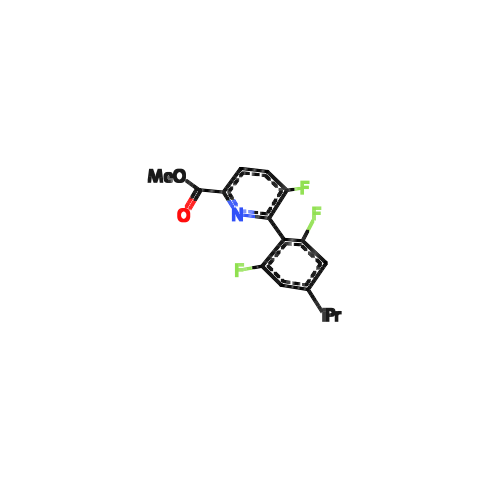 COC(=O)c1ccc(F)c(-c2c(F)cc(C(C)C)cc2F)n1